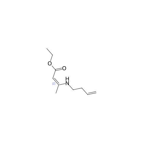 C=CCCN/C(C)=C\C(=O)OCC